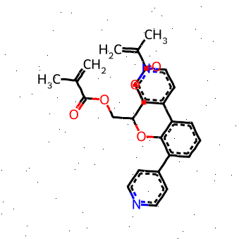 C=C(C)C(=O)OCC(COC(=O)C(=C)C)Oc1c(-c2ccncc2)cccc1-c1ccncc1